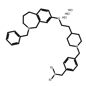 CCN(CC)Cc1ccc(CN2CCC(CCOc3ccc4c(c3)CN(Cc3ccccc3)CCC4)CC2)cc1.Cl.Cl.Cl